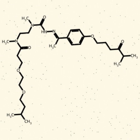 C/C(=N\NC(=O)N(C)CCN(C)C(=O)CCOCCOCCC(C)C)c1ccc(OCCCC(=O)C(C)C)cc1